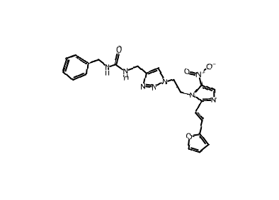 O=C(NCc1ccccc1)NCc1cn(CCn2c([N+](=O)[O-])cnc2/C=C/c2ccco2)nn1